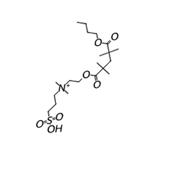 CCCCOC(=O)C(C)(C)CC(C)(C)C(=O)OCC[N+](C)(C)CCCS(=O)(=O)O